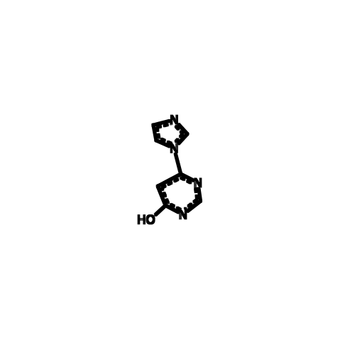 Oc1cc(-n2ccnc2)ncn1